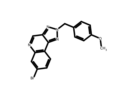 COc1ccc(Cn2nc3cnc4cc(Br)ccc4c3n2)cc1